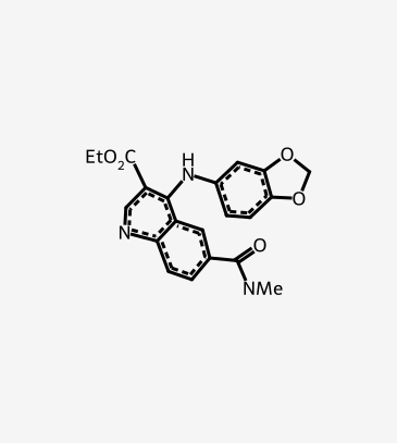 CCOC(=O)c1cnc2ccc(C(=O)NC)cc2c1Nc1ccc2c(c1)OCO2